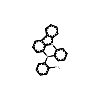 Cc1ccccc1B1c2ccccc2-n2c3ccccc3c3cccc1c32